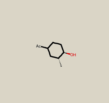 CC(=O)C1CC[C@@H](O)[C@H](C)C1